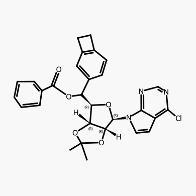 CC1(C)O[C@@H]2[C@H](O1)[C@@H](C(OC(=O)c1ccccc1)c1ccc3c(c1)CC3)O[C@H]2n1ccc2c(Cl)ncnc21